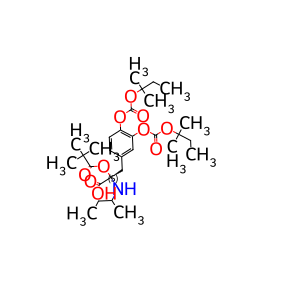 CCC(C)N[C@@](Cc1ccc(OC(=O)OC(C)(C)CC)c(OC(=O)OC(C)(C)CC)c1)(OC(=O)C(C)(C)C)C(=O)O